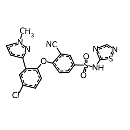 Cn1ccc(-c2cc(Cl)ccc2Oc2ccc(S(=O)(=O)Nc3ncns3)cc2C#N)n1